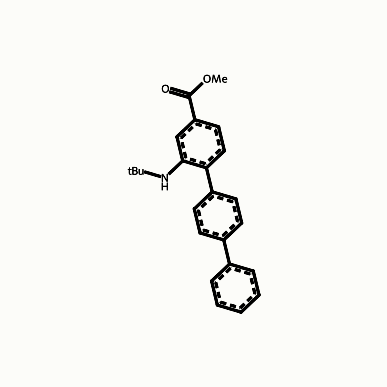 COC(=O)c1ccc(-c2ccc(-c3ccccc3)cc2)c(NC(C)(C)C)c1